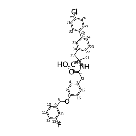 O=C(Cc1ccc(OCc2cccc(F)c2)cc1)NC1(C(=O)O)Cc2ccc(-c3ccc(Cl)cc3)cc2C1